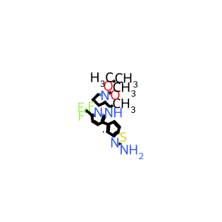 CC(Nc1nc(C(F)(F)F)ccc1-c1[c]c2nc(N)sc2cc1)C1CCCN1C(=O)OC(C)(C)C